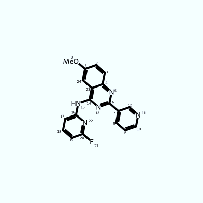 COc1ccc2nc(-c3cccnc3)nc(Nc3cccc(F)n3)c2c1